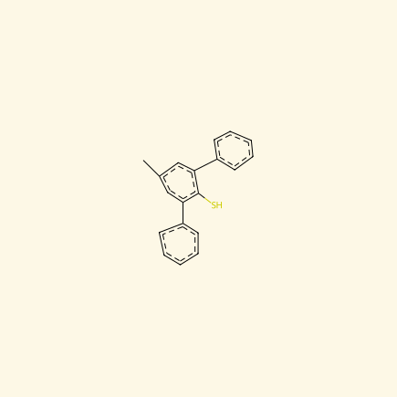 Cc1cc(-c2ccccc2)c(S)c(-c2ccccc2)c1